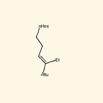 [CH2]CCCC(=CCCCCCCCC)CC